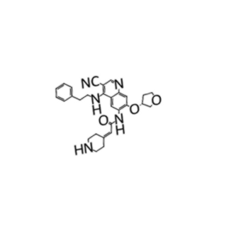 N#Cc1cnc2cc(O[C@@H]3CCOC3)c(NC(=O)C=C3CCNCC3)cc2c1NCCc1ccccc1